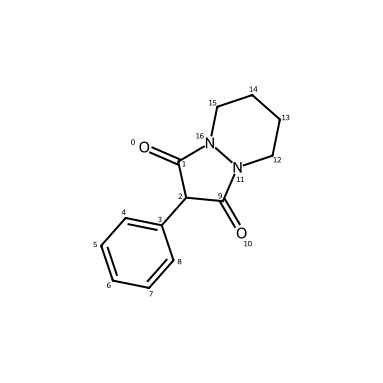 O=C1C(c2ccccc2)C(=O)N2CCCCN12